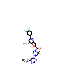 CC(C)(C)c1cc(-c2ccc(Cl)c(F)c2)nc2cc(C(=O)N3CCN(c4cc(C(=O)O)ncn4)CC3(C)C)oc12